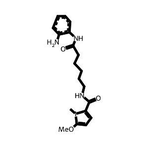 COC1=CC=C(C(=O)NCCCCCC(=O)Nc2ccccc2N)I1C